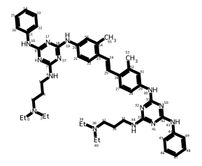 CCN(CC)CCCNc1nc(Nc2ccccc2)nc(Nc2ccc(C=Cc3ccc(Nc4nc(NCCCN(CC)CC)nc(Nc5ccccc5)n4)cc3C)c(C)c2)n1